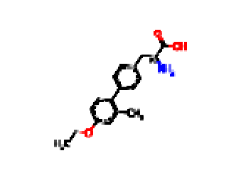 CCOc1ccc(-c2ccc(C[C@H](N)C(=O)O)cc2)c(C)c1